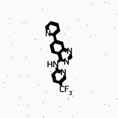 FC(F)(F)c1ccc(Nc2ncnc3cc(-c4ccccn4)ccc23)nc1